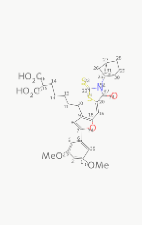 COc1cc(OC)cc(-c2cc(CCCCCC(C(=O)O)C(=O)O)c(/C=C3\SC(=S)N(C4CC5CCC4C5)C3=O)o2)c1